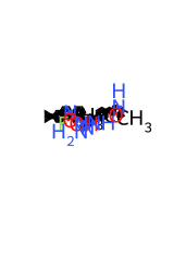 CC1CNCC(C)(Cc2ccc(-c3cc4c(-c5cccc(-n6ccc7cc(C8CC8)cc(F)c7c6=O)c5CO)nc(N)nc4[nH]3)cc2)O1